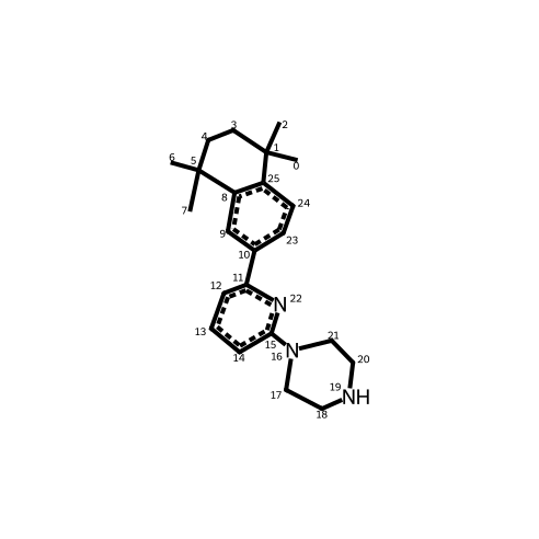 CC1(C)CCC(C)(C)c2cc(-c3cccc(N4CCNCC4)n3)ccc21